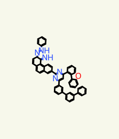 N=C1/C(=N\Nc2ccccc2)C=Cc2ccc3cc(-c4nc(-c5cccc(-c6cccc(-c7ccccc7)c6)c5)cc(-c5cccc6oc7ccccc7c56)n4)ccc3c21